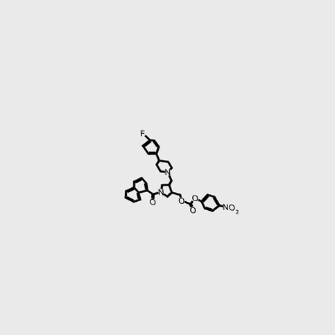 O=C(OCC1CN(C(=O)c2cccc3ccccc23)CC1CN1CCC(c2ccc(F)cc2)CC1)Oc1ccc([N+](=O)[O-])cc1